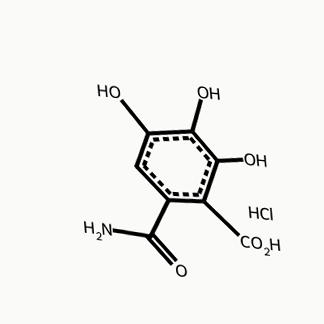 Cl.NC(=O)c1cc(O)c(O)c(O)c1C(=O)O